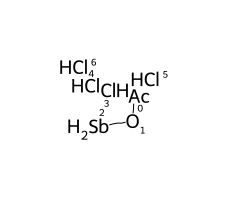 CC(=O)[O][SbH2].Cl.Cl.Cl.Cl